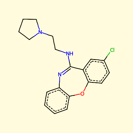 Clc1ccc2c(c1)C(NCCN1CCCC1)=Nc1ccccc1O2